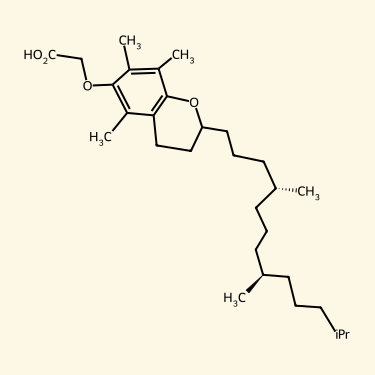 Cc1c(C)c2c(c(C)c1OCC(=O)O)CCC(CCC[C@H](C)CCC[C@H](C)CCCC(C)C)O2